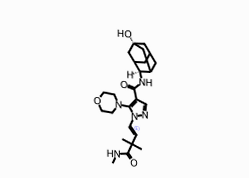 CNC(=O)C(C)(C)/C=C/n1ncc(C(=O)N[C@H]2C3CC4CC2C[C@](O)(C4)C3)c1N1CCOCC1